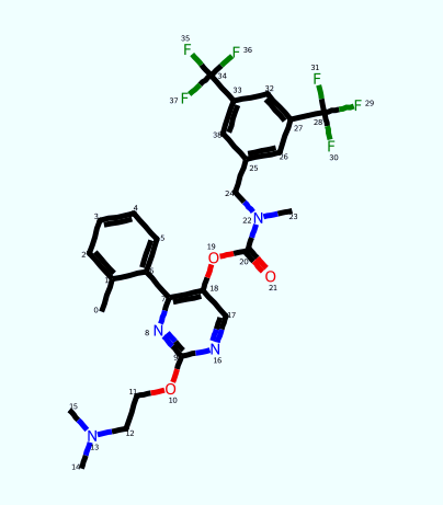 Cc1ccccc1-c1nc(OCCN(C)C)ncc1OC(=O)N(C)Cc1cc(C(F)(F)F)cc(C(F)(F)F)c1